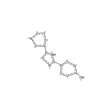 Oc1ccc(-c2ncc(-c3cccnc3)[nH]2)cc1